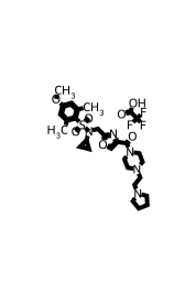 COc1cc(C)c(S(=O)(=O)N(Cc2nc(C(=O)N3CCN(CCN4CCCC4)CC3)co2)C2CC2)c(C)c1.O=C(O)C(F)(F)F